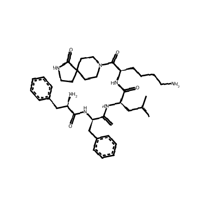 C=C(N[C@H](CC(C)C)C(=O)N[C@H](CCCCN)C(=O)N1CCC2(CCNC2=O)CC1)[C@@H](Cc1ccccc1)NC(=O)[C@H](N)Cc1ccccc1